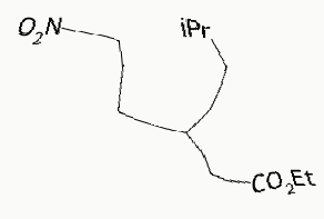 CCOC(=O)CC(CC[N+](=O)[O-])CC(C)C